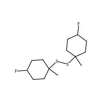 CC1(SSC2(C)CCC(F)CC2)CCC(F)CC1